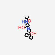 CCC(CC)C(=O)Nc1ccc(N2CCC(C(O)(c3ccccc3)c3ccccc3)CC2)c(CO)c1